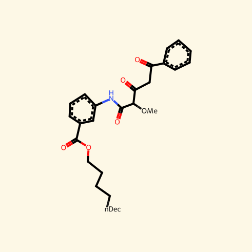 CCCCCCCCCCCCCCOC(=O)c1cccc(NC(=O)C(OC)C(=O)CC(=O)c2ccccc2)c1